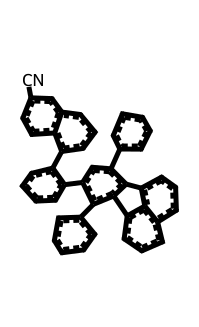 N#Cc1ccc2c(-c3ccccc3-c3cc(-c4ccccc4)c4c(c3-c3ccccc3)-c3cccc5cccc-4c35)cccc2c1